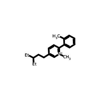 CCC(CC)CCc1ccc(-c2ccccc2C)[n+](C)c1